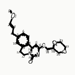 COCCCc1ccc2c(c1)CCn1c-2cc(OCC2COCCO2)nc1=O